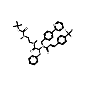 CN(CCN(C)C(=O)[C@H](Cc1ccccc1)N(Cc1ccc(-c2ccccn2)cc1)C(=O)C=Cc1ccc(C(F)(F)F)cc1)C(=O)OC(C)(C)C